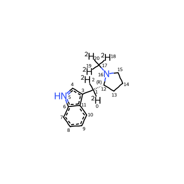 [2H]C([2H])(c1c[nH]c2ccccc12)[C@H]1CCCN1C([2H])([2H])[2H]